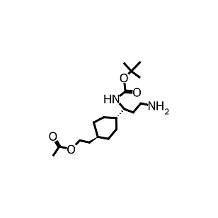 CC(=O)OCC[C@H]1CC[C@H](C(CCN)NC(=O)OC(C)(C)C)CC1